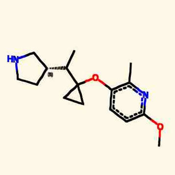 COc1ccc(OC2(C(C)[C@@H]3CCNC3)CC2)c(C)n1